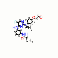 C=CC(=O)Nc1cccc(Nc2nc(N(C)c3ccc(OCCO)cc3)ncc2F)c1